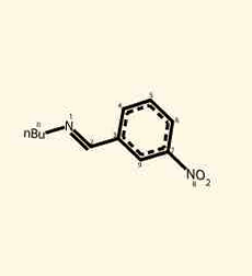 CCCCN=Cc1cccc([N+](=O)[O-])c1